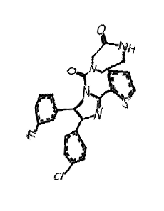 O=C1CN(C(=O)N2C(c3cccs3)=NC(c3ccc(Cl)cc3)C2c2cccc(F)c2)CCN1